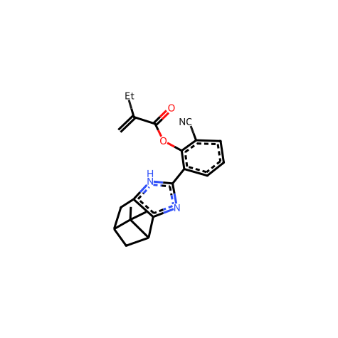 C=C(CC)C(=O)Oc1c(C#N)cccc1-c1nc2c([nH]1)CC1CC2C1(C)C